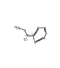 NC[C@@H](Cl)c1ccccc1